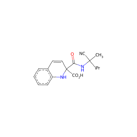 CC(C)C(C)(C#N)NC(=O)C1(C(=O)O)C=Cc2ccccc2N1